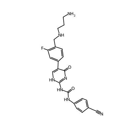 N#Cc1ccc(NC(=O)Nc2nc(=O)c(-c3ccc(CNCCCN)c(F)c3)c[nH]2)cc1